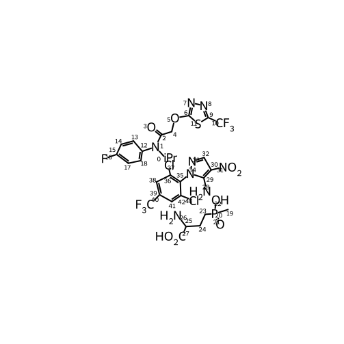 CC(C)N(C(=O)COc1nnc(C(F)(F)F)s1)c1ccc(F)cc1.CP(=O)(O)CCC(N)C(=O)O.Nc1c([N+](=O)[O-])cnn1-c1c(Cl)cc(C(F)(F)F)cc1Cl